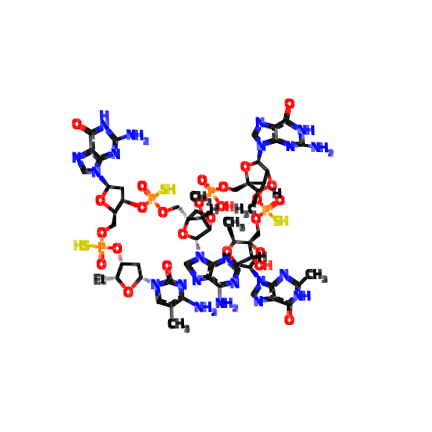 CC[C@H]1O[C@@H](n2cc(C)c(N)nc2=O)C[C@H]1OP(=O)(S)OC[C@H]1O[C@@H](n2cnc3c(=O)[nH]c(N)nc32)C[C@H]1OP(=O)(S)OC[C@]12O[C@@H](n3cnc4c(N)ncnc43)C(O[C@H]1C)[C@H]2OP(=O)(O)OC[C@]12O[C@@H](n3cnc4c(=O)[nH]c(N)nc43)C(O[C@H]1C)[C@H]2OP(=O)(S)OC[C@]12O[C@@H](n3cnc4c(=O)[nH]c(C)nc43)C(O[C@H]1C)[C@H]2O